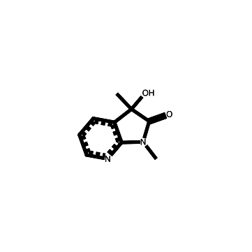 CN1C(=O)C(C)(O)c2cccnc21